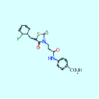 O=C(CCN1C(=O)/C(=C/C2C=CC=CC2F)SC1=S)Nc1ccc(C(=O)O)cc1